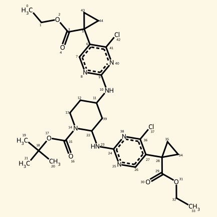 CCOC(=O)C1(c2cnc(NC3CCN(C(=O)OC(C)(C)C)C(Nc4ncc(C5(C(=O)OCC)CC5)c(Cl)n4)C3)nc2Cl)CC1